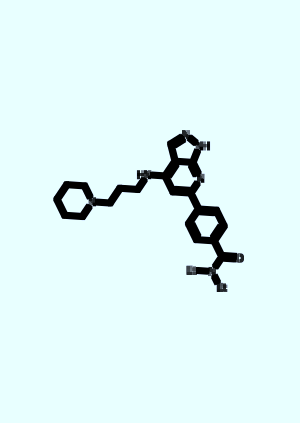 CCN(CC)C(=O)c1ccc(-c2cc(NCCCN3CCCCC3)c3cn[nH]c3n2)cc1